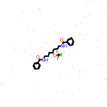 O=C(NCCCC(CCCNC(=O)c1ccccc1)OC(F)(F)F)c1ccccc1